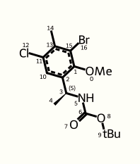 COc1c([C@H](C)NC(=O)OC(C)(C)C)cc(Cl)c(C)c1Br